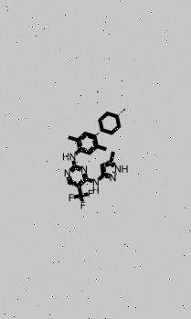 Cc1cc(Nc2nc(Nc3cc(C)c([C@H]4CC[C@@H](C)CC4)cc3C)ncc2C(F)(F)F)n[nH]1